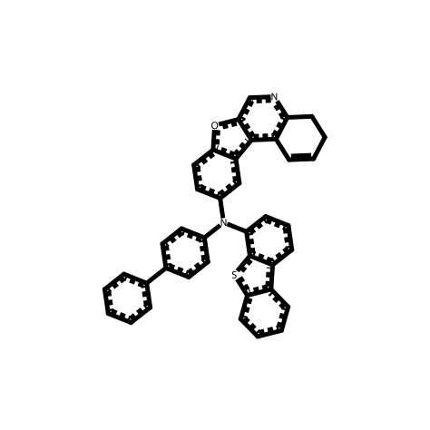 C1=Cc2c(ncc3oc4ccc(N(c5ccc(-c6ccccc6)cc5)c5cccc6c5sc5ccccc56)cc4c23)CC1